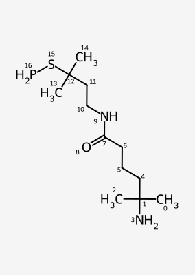 CC(C)(N)CCCC(=O)NCCC(C)(C)SP